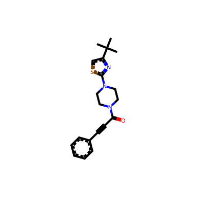 CC(C)(C)c1csc(N2CCN(C(=O)C#Cc3ccccc3)CC2)n1